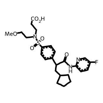 COCCN(CCC(=O)O)S(=O)(=O)c1ccc(C(CC2CCCC2)C(=O)Nc2ccc(F)cn2)cc1